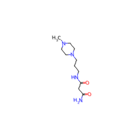 CN1CCN(CCCNC(=O)CC(N)=O)CC1